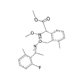 CONC(C(=O)OC)c1cccc(C)c1CO/N=C(\C)c1c(C)cccc1F